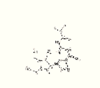 CC(C)C(=O)Nc1nc2c(ncn2C2OC(CO)C(CO)C2O)c(=O)[nH]1